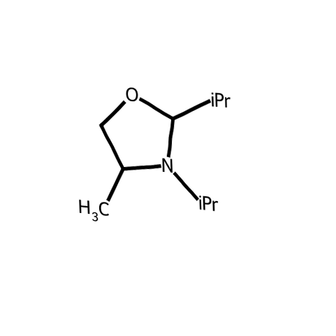 CC(C)C1OCC(C)N1C(C)C